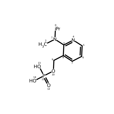 CC(C)N(C)c1ncccc1COP(=O)(O)O